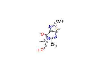 CSc1nc2c(=O)n([C@H](C)CO)c(C(F)(F)F)nc2s1